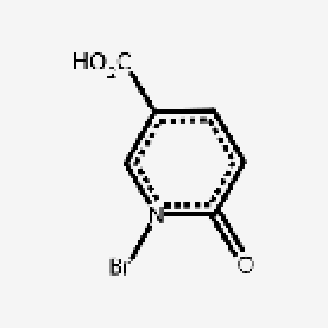 O=C(O)c1ccc(=O)n(Br)c1